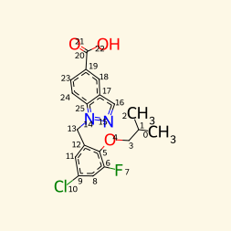 CC(C)COc1c(F)cc(Cl)cc1Cn1ncc2cc(C(=O)O)ccc21